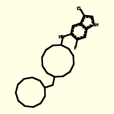 Fc1cc2[nH]cc(Cl)c2cc1NC1CCCCCC(CC2CCCCCCCCCC2)CCCCC1